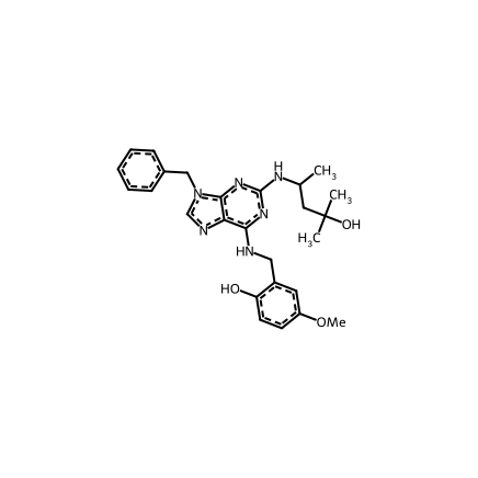 COc1ccc(O)c(CNc2nc(NC(C)CC(C)(C)O)nc3c2ncn3Cc2ccccc2)c1